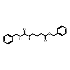 O=C(NCCCC(=O)OCc1ccccc1)NCc1ccccc1